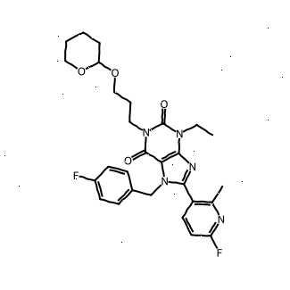 CCn1c(=O)n(CCCOC2CCCCO2)c(=O)c2c1nc(-c1ccc(F)nc1C)n2Cc1ccc(F)cc1